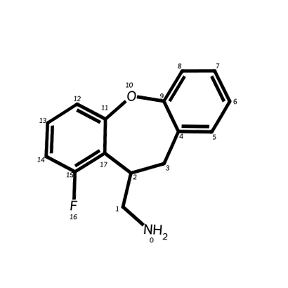 NCC1Cc2ccccc2Oc2cccc(F)c21